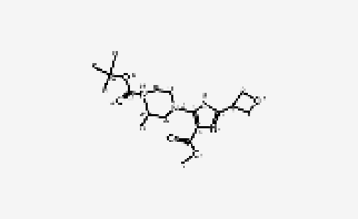 COC(=O)c1nc(C2COC2)sc1N1CCN(C(=O)OC(C)(C)C)C(C)C1